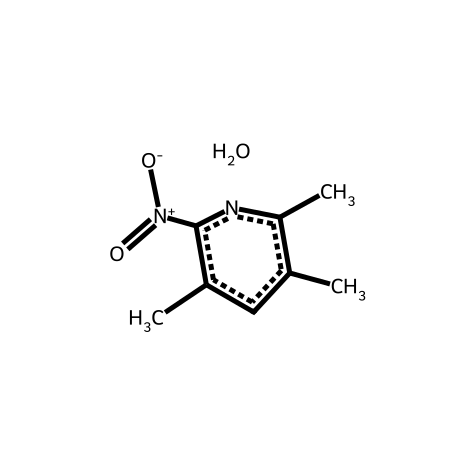 Cc1cc(C)c([N+](=O)[O-])nc1C.O